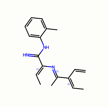 C=CC(=C\C)/C(C)=N/C(=C\C)C(=N)Nc1ccccc1C